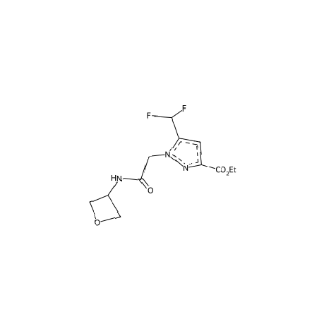 CCOC(=O)c1cc(C(F)F)n(CC(=O)NC2COC2)n1